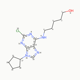 OCCCCCNc1nc(Cl)nc2c1ncn2C1CCCC1